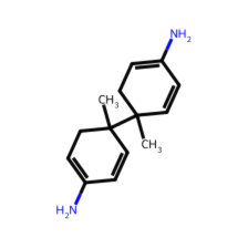 CC1(C2(C)C=CC(N)=CC2)C=CC(N)=CC1